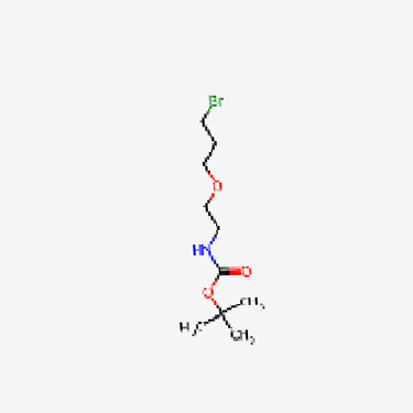 CC(C)(C)OC(=O)NCCOCCCBr